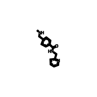 CNCc1ccc(C(=O)NCc2ccccn2)cc1